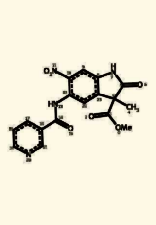 COC(=O)C1(C)C(=O)Nc2cc([N+](=O)[O-])c(NC(=O)c3cccnc3)cc21